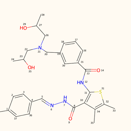 Cc1ccc(/C=N/NC(=O)c2c(NC(=O)c3cccc(CN(CC(C)O)CC(C)O)c3)sc(C)c2C)cc1